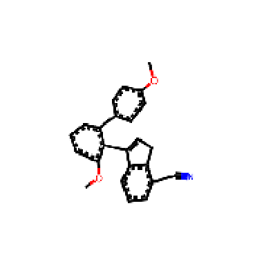 COc1ccc(-c2cccc(OC)c2C2=CCc3c(C#N)cccc32)cc1